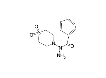 NN(C(=O)c1ccccc1)N1CCS(=O)(=O)CC1